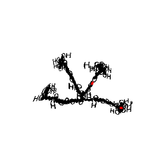 COP(=O)(O)OCC(CO)CCCCNC(=O)CCOCCOCCOCCNC(=O)[C@H](CCCCNC(=O)CCOCCOCCOCCOC1OC(CO)C(O)C(O)C1NC(C)=O)NC(=O)[C@H](CCCCNC(=O)CCOCCOCCOCCOC1OC(CO)C(O)C(O)C1NC(C)=O)NC(=O)CCOCCOCCOCCOC1OC(CO)C(O)C(O)C1NC(C)=O